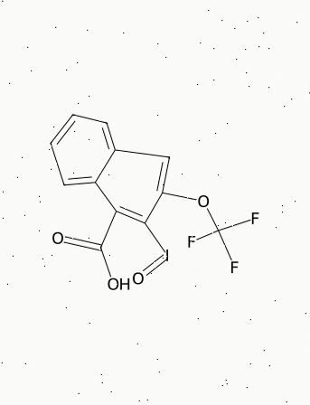 O=Ic1c(OC(F)(F)F)cc2ccccc2c1C(=O)O